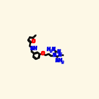 Cc1ccc(CNCc2cccc(OCCCN3C(N)=NN(C)C3N)c2)o1